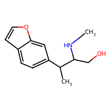 CNC(CO)C(C)c1ccc2ccoc2c1